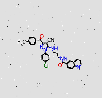 N#Cc1c(C(=O)c2ccc(C(F)(F)F)cc2)nn(-c2ccc(Cl)cc2)c1NCCCNC(=O)c1ccc2ncccc2c1